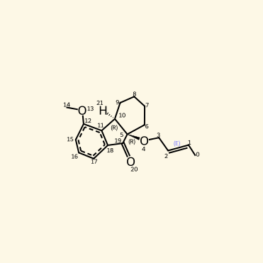 C/C=C/CO[C@]12CCCC[C@@H]1c1c(OC)cccc1C2=O